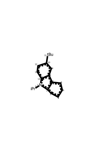 CC(C)n1c2ccccc2c2cc(C(C)(C)C)ccc21